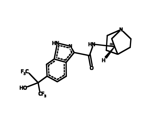 O=C(N[C@@H]1CN2CCC1CC2)c1n[nH]c2cc(C(O)(C(F)(F)F)C(F)(F)F)ccc12